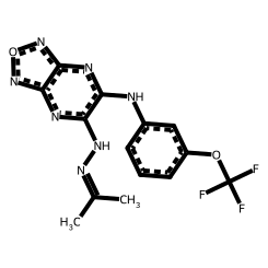 CC(C)=NNc1nc2nonc2nc1Nc1cccc(OC(F)(F)F)c1